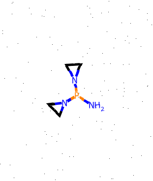 NP(N1CC1)N1CC1